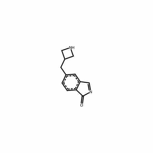 O=C1N=Cc2cc(CC3CNC3)ccc21